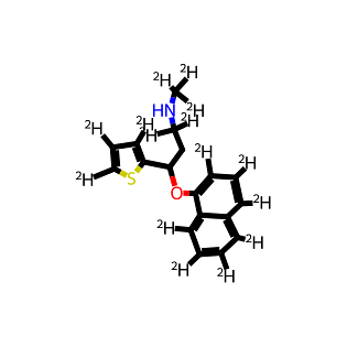 [2H]c1sc(C(CC([2H])([2H])NC([2H])([2H])[2H])Oc2c([2H])c([2H])c([2H])c3c([2H])c([2H])c([2H])c([2H])c23)c([2H])c1[2H]